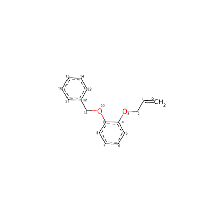 C=CCOc1ccccc1OCc1ccccc1